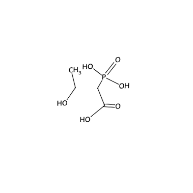 CCO.O=C(O)CP(=O)(O)O